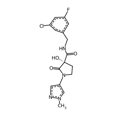 Cn1cc(N2CC[C@](O)(C(=O)NCc3cc(F)cc(Cl)c3)C2=O)cn1